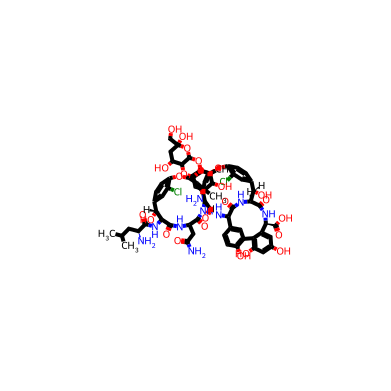 CC(C)C[C@@H](N)C(=O)NC1C(=O)NC(CC(N)=O)C(=O)N[C@H]2C(=O)NC3C(=O)N[C@H](C(=O)N[C@@H](C(=O)O)c4cc(O)cc(O)c4-c4cc3ccc4O)[C@H](O)c3ccc(c(Cl)c3)Oc3cc2cc(c3OC2OC(O)(CO)CC(O)C2OC2CC(C)(N)C(O)C(C)O2)Oc2ccc(cc2Cl)[C@H]1O